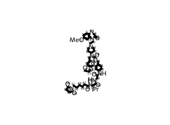 COc1ccc2ncc(=O)n(CCN3CCC(N(Cc4cc5c(cn4)OCCO5)C(=O)OCc4ccc(NC(=O)CNC(=O)[C@@H](NC(=O)CCCCCN5C(=O)C=CC5=O)C(C)C)cc4)CC3)c2c1